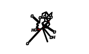 CC1CCOC(=O)C/C=C\C=C/C(=O)OC2CC3OC4C=C(CO)CCC4(COC(=O)C1O)C2(C)C31CO1